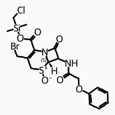 C[Si](C)(CCl)OC(=O)C1=C(CBr)C[S+]([O-])[C@H]2C(NC(=O)COc3ccccc3)C(=O)N12